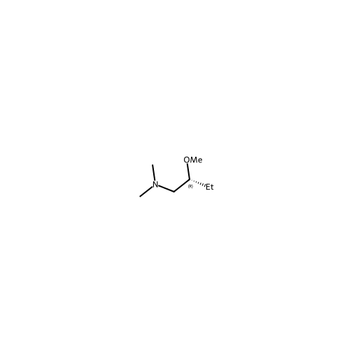 CC[C@H](CN(C)C)OC